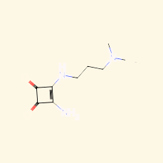 CN(CCCNc1c(N)c(=O)c1=O)C(C)(C)C